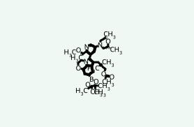 CO[C@@H](C)c1ncc(N2C[C@@H](C)O[C@@H](C)C2)cc1-c1c(CC(C)(C)COC(C)=O)c2cc(B3OC(C)(C)C(C)(C)O3)cc3c2n1CCO3